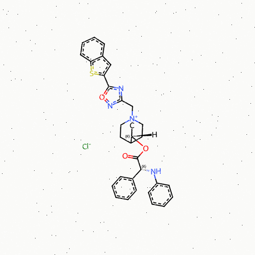 O=C(O[C@H]1C[N+]2(Cc3noc(-c4cc5ccccc5s4)n3)CCC1CC2)[C@H](Nc1ccccc1)c1ccccc1.[Cl-]